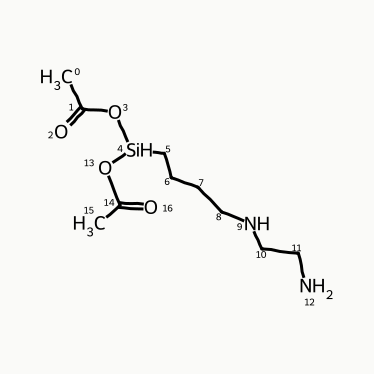 CC(=O)O[SiH](CCCCNCCN)OC(C)=O